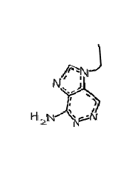 CCn1cnc2c(N)nncc21